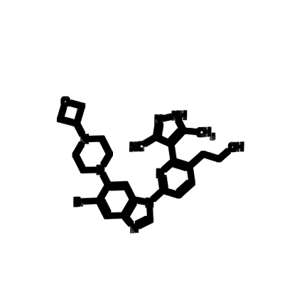 Cc1[nH]nc(C#N)c1-c1nc(-n2cnc3cc(Br)c(N4CCN(C5COC5)CC4)cc32)ccc1CCO